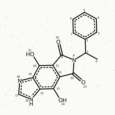 CC(c1ccccc1)N1C(=O)c2c(c(O)c3[nH]cnc3c2O)C1=O